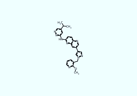 COc1ncccc1Cn1cc(-c2cnc3ccc(Nc4cc(C(C)C)cnn4)nc3c2)cn1